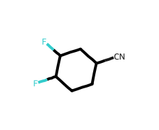 N#CC1CCC(F)C(F)C1